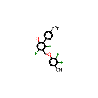 CCCc1ccc(-c2c([O])cc(F)c(COc3ccc(C#N)c(F)c3F)c2F)cc1